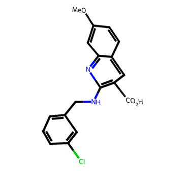 COc1ccc2cc(C(=O)O)c(NCc3cccc(Cl)c3)nc2c1